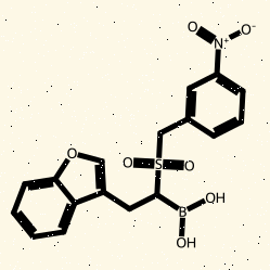 O=[N+]([O-])c1cccc(CS(=O)(=O)C(Cc2coc3ccccc23)B(O)O)c1